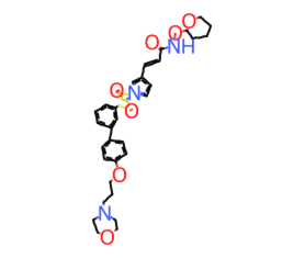 O=C(C=Cc1ccn(S(=O)(=O)c2cccc(-c3ccc(OCCCN4CCOCC4)cc3)c2)c1)NOC1CCCCO1